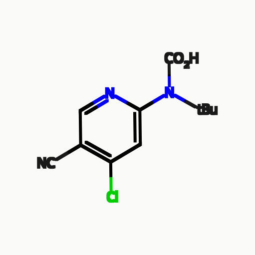 CC(C)(C)N(C(=O)O)c1cc(Cl)c(C#N)cn1